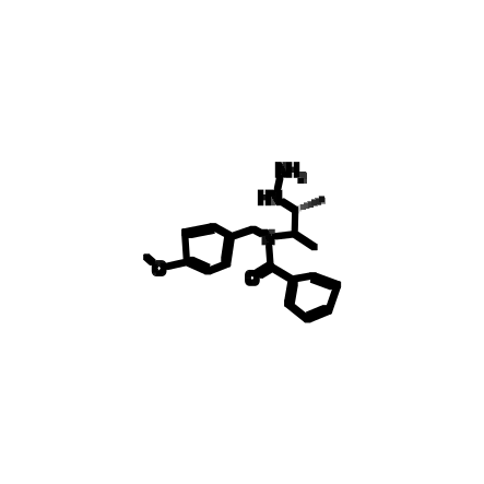 COc1ccc(CN(C(=O)c2ccccc2)C(C)[C@@H](C)NN)cc1